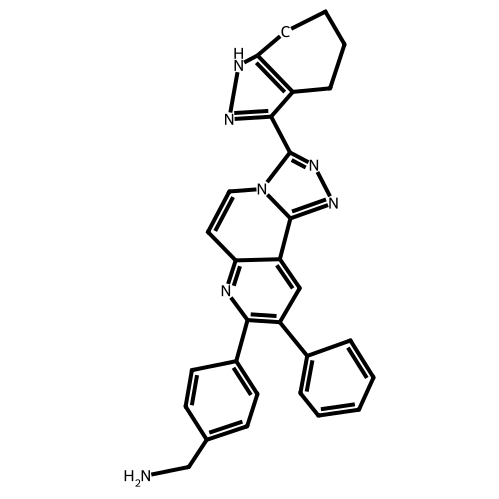 NCc1ccc(-c2nc3ccn4c(-c5n[nH]c6c5CCCC6)nnc4c3cc2-c2ccccc2)cc1